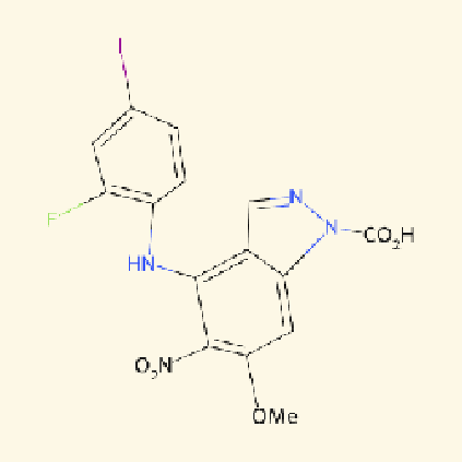 COc1cc2c(cnn2C(=O)O)c(Nc2ccc(I)cc2F)c1[N+](=O)[O-]